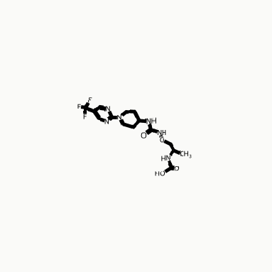 CC(CONC(=O)NC1CCN(c2ncc(C(F)(F)F)cn2)CC1)NC(=O)O